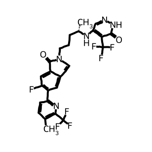 Cc1ccc(-c2cc3ccn(CCC[C@H](C)Nc4cn[nH]c(=O)c4C(F)(F)F)c(=O)c3cc2F)nc1C(F)(F)F